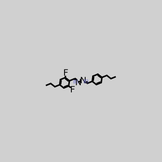 CCCc1ccc(/C=N/N=C/c2c(F)cc(CCC)cc2F)cc1